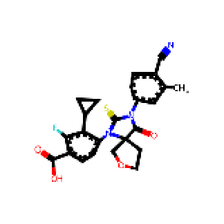 Cc1cc(N2C(=O)C3(CCOC3)N(c3ccc(C(=O)O)c(F)c3C3CC3)C2=S)ccc1C#N